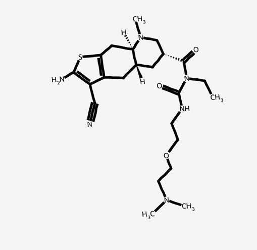 CCN(C(=O)NCCOCCN(C)C)C(=O)[C@@H]1C[C@@H]2Cc3c(sc(N)c3C#N)C[C@H]2N(C)C1